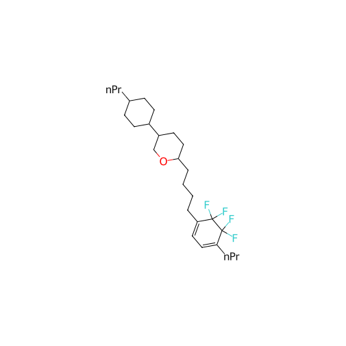 CCCC1=CC=C(CCCCC2CCC(C3CCC(CCC)CC3)CO2)C(F)(F)C1(F)F